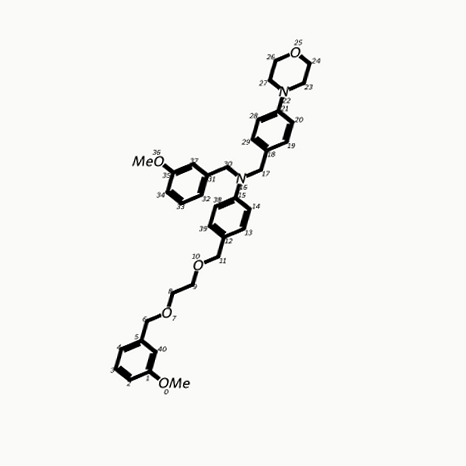 COc1cccc(COCCOCc2ccc(N(Cc3ccc(N4CCOCC4)cc3)Cc3cccc(OC)c3)cc2)c1